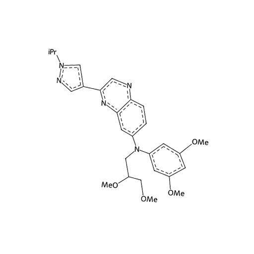 COCC(CN(c1cc(OC)cc(OC)c1)c1ccc2ncc(-c3cnn(C(C)C)c3)nc2c1)OC